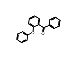 O=C(c1ccccc1)c1ccccc1Oc1ccccc1